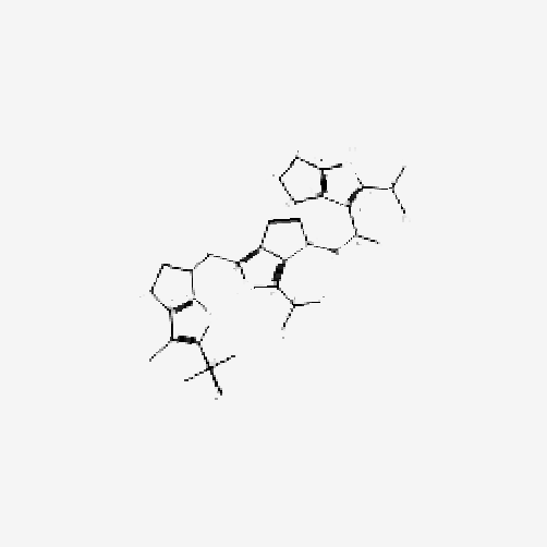 Cc1c(C(C)(C)C)sc2c1CCC2Cc1sc(C(C)C)c2c1CCC2CC(C)c1c(C(C)C)sc2c1CCC2